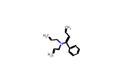 C=CC=C(c1ccccc1)N(CC=C)CC=C